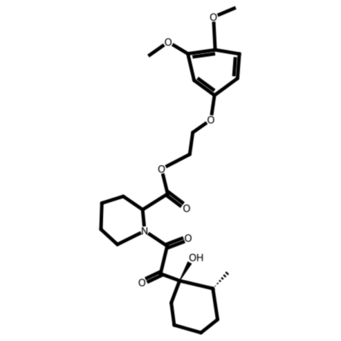 COc1ccc(OCCOC(=O)C2CCCCN2C(=O)C(=O)[C@@]2(O)CCCC[C@H]2C)cc1OC